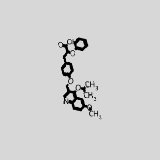 COc1ccc2ncc(COc3ccc(CC(Oc4ccccc4)C(=O)O)cc3)c(OC(C)C)c2c1